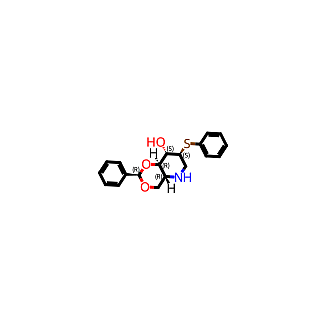 O[C@H]1[C@@H]2O[C@H](c3ccccc3)OC[C@H]2NC[C@@H]1Sc1ccccc1